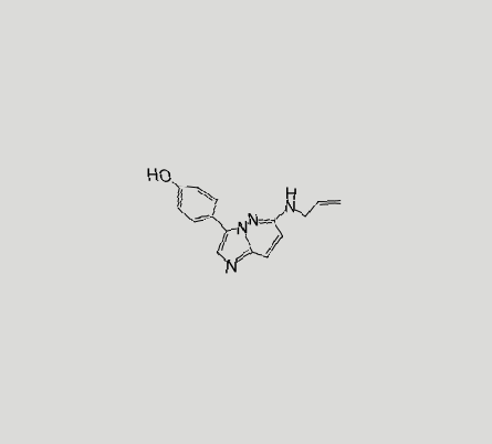 C=CCNc1ccc2ncc(-c3ccc(O)cc3)n2n1